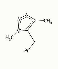 Cc1[c]nn(C)c1CC(C)C